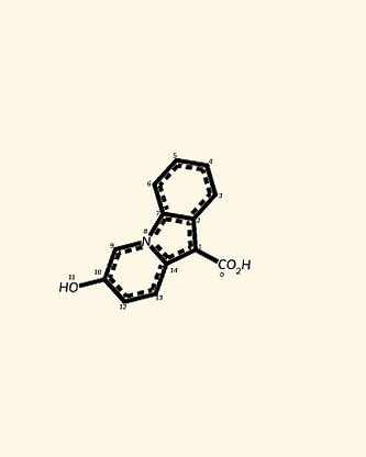 O=C(O)c1c2ccccc2n2cc(O)ccc12